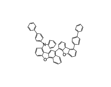 c1ccc(-c2ccc(-c3cccc4oc5c(-c6cc7c(oc8cccc(N(c9ccccc9)c9ccc(-c%10ccccc%10)cc9)c87)c7ccccc67)cccc5c34)cc2)cc1